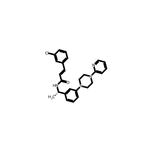 C[C@H](NC(=O)/C=C/c1cccc(Cl)c1)c1cccc(N2CCN(c3ccccn3)CC2)c1